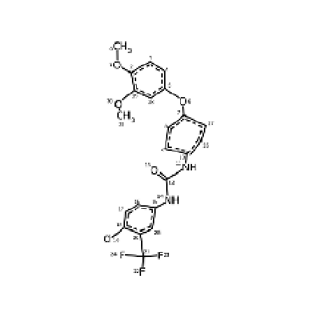 COc1ccc(Oc2ccc(NC(=O)Nc3ccc(Cl)c(C(F)(F)F)c3)cc2)cc1OC